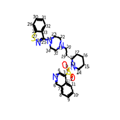 O=S(=O)(c1cncc2ccccc12)N1CCCC[C@H]1CCN1CCN(c2nsc3ccccc23)CC1